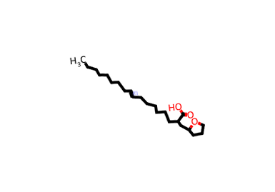 CCCCCCCC/C=C/CCCCCCC(CC1CCCO1)C(=O)O